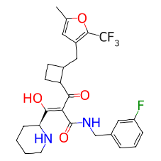 Cc1cc(CC2CCC2C(=O)/C(C(=O)NCc2cccc(F)c2)=C(\O)[C@@H]2CCCCN2)c(C(F)(F)F)o1